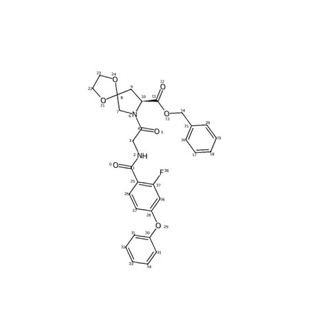 O=C(NCC(=O)N1CC2(C[C@H]1C(=O)OCc1ccccc1)OCCO2)c1ccc(Oc2ccccc2)cc1F